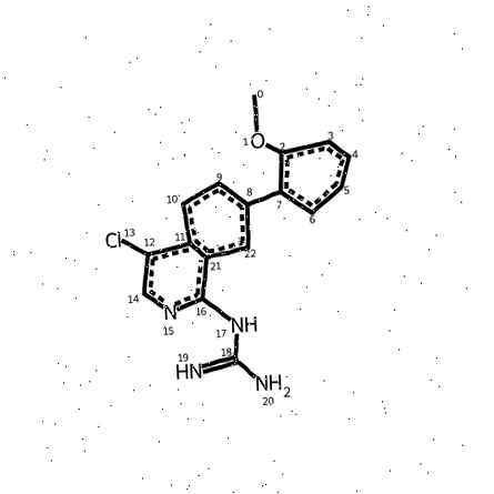 COc1ccccc1-c1ccc2c(Cl)cnc(NC(=N)N)c2c1